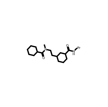 CC(C)NC(=O)C1CCCC(CCN(C)C(=O)C2CCCCC2)C1